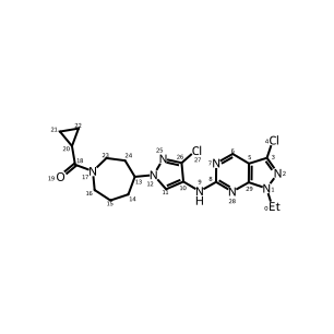 CCn1nc(Cl)c2cnc(Nc3cn(C4CCCN(C(=O)C5CC5)CC4)nc3Cl)nc21